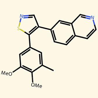 COc1cc(-c2sncc2-c2ccc3ccncc3c2)cc(C)c1OC